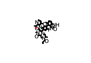 C=CC(=O)N1CC2C(=O)N(C)c3c(c4cc(F)c(-c5c(C)ccc6[nH]c(=O)n(C)c56)c(Cl)c4n(-c4c(C)ccnc4C(C)C)c3=O)N2CC1C